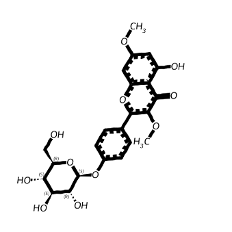 COc1cc(O)c2c(=O)c(OC)c(-c3ccc(O[C@@H]4O[C@H](CO)[C@@H](O)[C@H](O)[C@H]4O)cc3)oc2c1